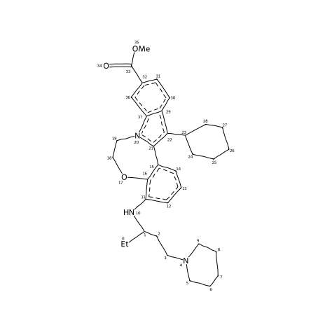 CCC(CCN1CCCCC1)Nc1cccc2c1OCCn1c-2c(C2CCCCC2)c2ccc(C(=O)OC)cc21